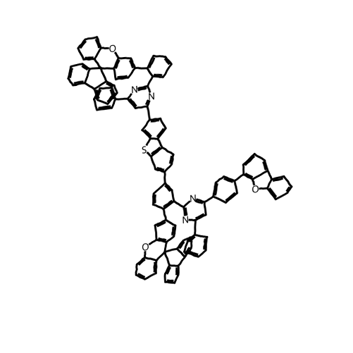 c1ccc(-c2cc(-c3ccc4c(c3)sc3cc(-c5ccc(-c6ccc7c(c6)Oc6ccccc6C76c7ccccc7-c7ccccc76)c(-c6nc(-c7ccccc7)cc(-c7ccc(-c8cccc9c8oc8ccccc89)cc7)n6)c5)ccc34)nc(-c3ccccc3-c3ccc4c(c3)Oc3ccccc3C43c4ccccc4-c4ccccc43)n2)cc1